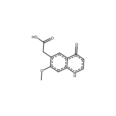 COc1cc2[nH]ccc(=O)c2cc1CC(=O)O